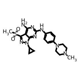 CN1CCN(c2ccc(Nc3nc(N)c4c(S(C)(=O)=O)nn(C5CC5)c4n3)cc2)CC1